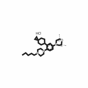 CCCCCN1CCN(c2ccc(N3C[C@@H](C)O[C@@H](C)C3)cc2C2CCC3(CC2)CC3)CC1.Cl